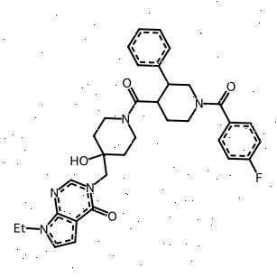 CCn1ccc2c(=O)n(CC3(O)CCN(C(=O)C4CCN(C(=O)c5ccc(F)cc5)CC4c4ccccc4)CC3)cnc21